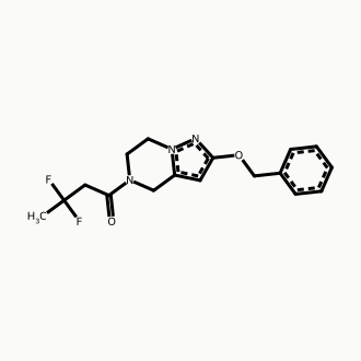 CC(F)(F)CC(=O)N1CCn2nc(OCc3ccccc3)cc2C1